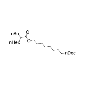 CCCCCCCCCCCCCCCCCCOC(=O)C(CCCC)CCCCCC